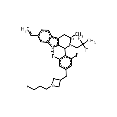 C=Cc1ccc2c3c([nH]c2c1)C(c1c(F)cc(CC2CN(CCCF)C2)cc1F)N(CC(C)(F)F)[C@H](C)C3